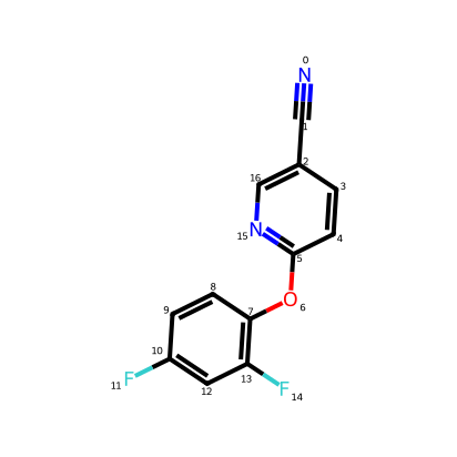 N#Cc1ccc(Oc2ccc(F)cc2F)nc1